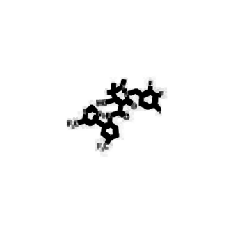 CN1N(Cc2ccc(I)c(F)c2F)C(=O)C(C(=O)Nc2ccc(C(F)(F)F)cc2-c2cc(C(F)(F)F)ncn2)=C(O)C1(C)C